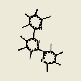 Cc1nc(-c2nc(-c3nc(C)c(C)c(C)c3C)c(C)c(C)c2C)c(C)c(C)c1C